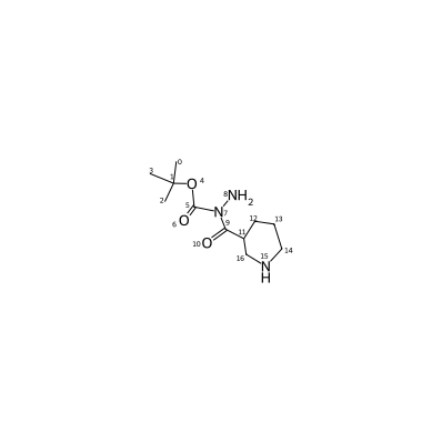 CC(C)(C)OC(=O)N(N)C(=O)C1CCCNC1